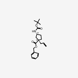 C=CC[C@]1(C(=O)OCc2ccccc2)CC[C@@H](NC(=O)OC(C)(C)C)C1